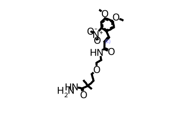 COc1cc(/C=C/C(=O)NCCOCCC(C)(C)C(=O)NN)c([N+](=O)[O-])cc1OC